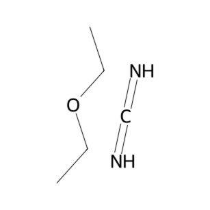 CCOCC.N=C=N